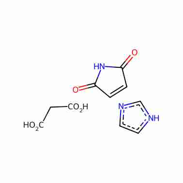 O=C(O)CC(=O)O.O=C1C=CC(=O)N1.c1c[nH]cn1